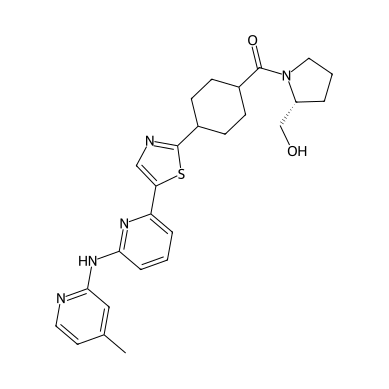 Cc1ccnc(Nc2cccc(-c3cnc(C4CCC(C(=O)N5CCC[C@@H]5CO)CC4)s3)n2)c1